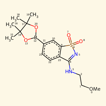 COCCNC1=NS(=O)(=O)c2cc(B3OC(C)(C)C(C)(C)O3)ccc21